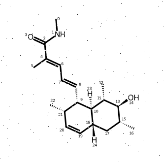 CNC(=O)/C(C)=C/C=C/[C@@H]1[C@H]2[C@H](C)[C@@H](O)[C@H](C)C[C@@H]2C=C[C@@H]1C